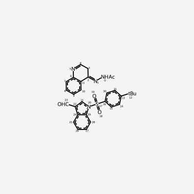 CC(=O)NN=C1CC=Nc2ccccc21.CC(C)(C)c1ccc(S(=O)(=O)n2cc(C=O)c3ccccc32)cc1